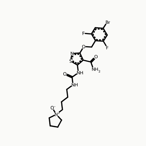 NC(=O)c1c(OCc2c(F)cc(Br)cc2F)nsc1NC(=O)NCCCC[N+]1([O-])CCCC1